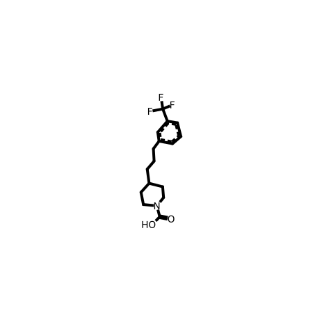 O=C(O)N1CCC(CCCc2cccc(C(F)(F)F)c2)CC1